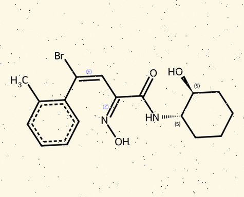 Cc1ccccc1/C(Br)=C\C(=N\O)C(=O)N[C@H]1CCCC[C@@H]1O